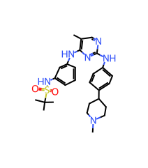 Cc1cnc(Nc2ccc(C3CCN(C)CC3)cc2)nc1Nc1cccc(NS(=O)(=O)C(C)(C)C)c1